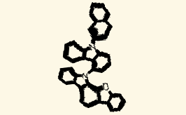 c1ccc2cc(-n3c4ccccc4c4c(-n5c6ccccc6c6ccc7c8ccccc8oc7c65)cccc43)ccc2c1